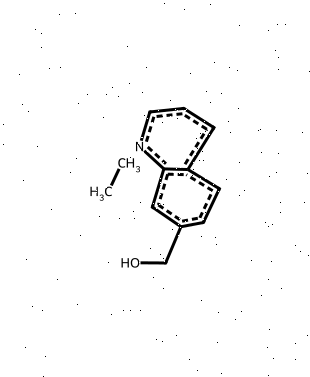 CC.OCc1ccc2cccnc2c1